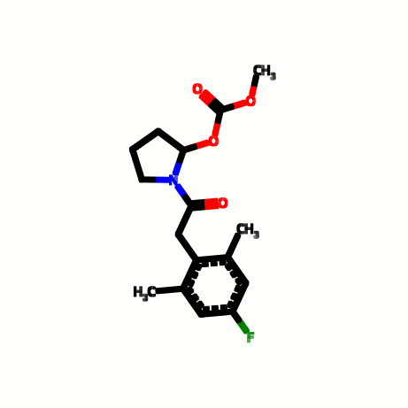 COC(=O)OC1CCCN1C(=O)Cc1c(C)cc(F)cc1C